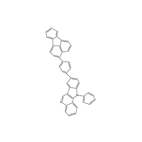 c1ccc(-n2c3ccc(-c4ccc(-c5ccc6c7c(cccc57)-c5ccccc5-6)cc4)cc3c3cnc4ccccc4c32)cc1